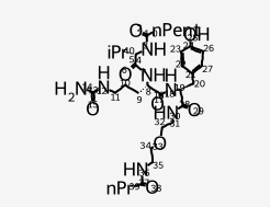 CCCCCC(=O)N[C@H](C(=O)N[C@@H](CCCNC(N)=O)C(=O)N[C@@H](Cc1ccc(O)cc1)C(=O)NCCOCCNC(=O)CCC)C(C)C